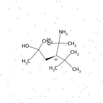 CC(C)(O)C[C@H](C(C)(C)C)C(C)(C)N